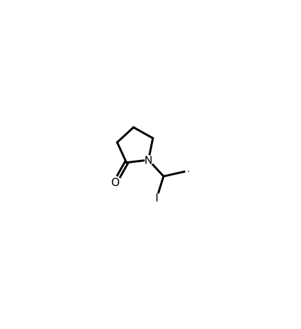 [CH2]C(I)N1CCCC1=O